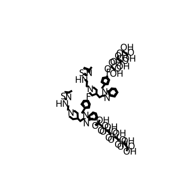 Cc1csc(NCCN2CCC(Cc3nc4ccccc4n3Cc3ccc(F)cc3)CC2)n1.Cc1csc(NCCN2CCC(Cc3nc4ccccc4n3Cc3ccc(F)cc3)CC2)n1.O=C(O)C(=O)O.O=C(O)C(=O)O.O=C(O)C(=O)O.O=C(O)C(=O)O.O=C(O)C(=O)O.O=C(O)C(=O)O.O=C(O)C(=O)O